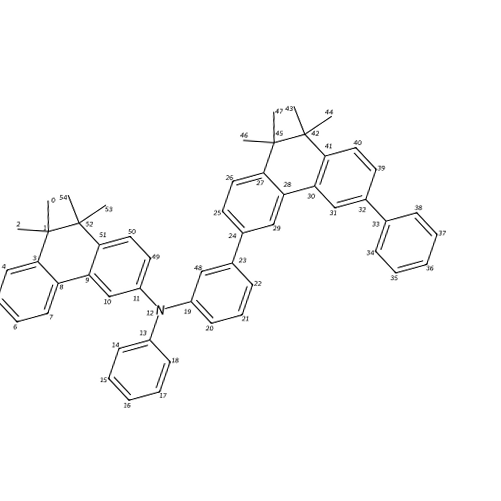 CC1(C)c2ccccc2-c2cc(N(c3ccccc3)c3cccc(-c4ccc5c(c4)-c4cc(-c6ccccc6)ccc4C(C)(C)C5(C)C)c3)ccc2C1(C)C